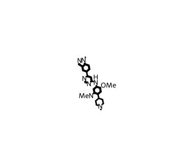 CNc1cc(Nc2cc(-c3ccc4c(cnn4C)c3)ncn2)c(OC)cc1C1CCN(C)CC1